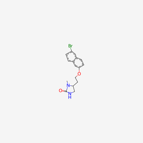 CN1C(=O)NCC1CCOc1ccc2cc(Br)ccc2c1